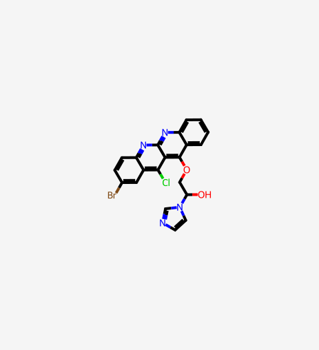 OC(COc1c2ccccc2nc2nc3ccc(Br)cc3c(Cl)c12)n1ccnc1